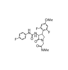 CNC(=O)CN1CC(c2c(F)cc(OC)cc2F)C(NC(=O)Nc2ccc(F)cc2)C1=O